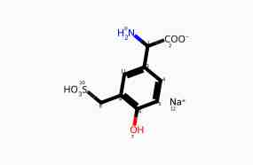 NC(C(=O)[O-])c1ccc(O)c(CS(=O)(=O)O)c1.[Na+]